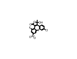 CC1(O)OC(=O)C(c2c(F)cc([N+](=O)[O-])cc2F)=C1c1ccc(Cl)cc1